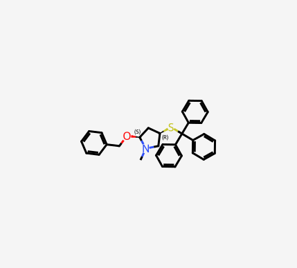 CN1C[C@H](SC(c2ccccc2)(c2ccccc2)c2ccccc2)C[C@@H]1OCc1ccccc1